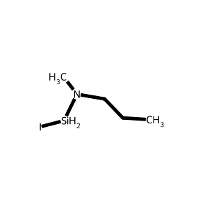 CCCN(C)[SiH2]I